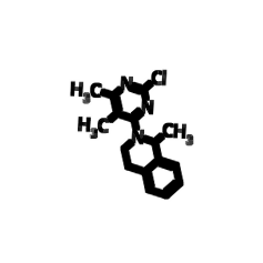 Cc1nc(Cl)nc(N2CCc3ccccc3C2C)c1C